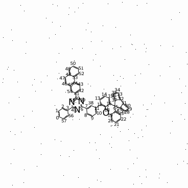 c1ccc(-c2nc(-c3cccc(-c4cccc5c4Oc4ccccc4C54c5ccccc5-c5ccccc54)c3)nc(-c3ccc4c(ccc5ccccc54)c3)n2)cc1